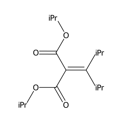 CC(C)OC(=O)C(C(=O)OC(C)C)=C(C(C)C)C(C)C